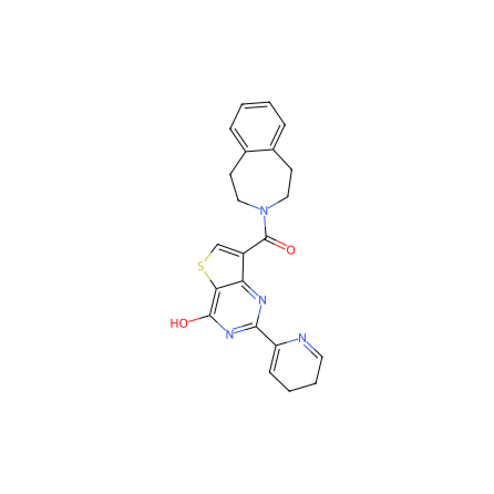 O=C(c1csc2c(O)nc(C3=CCCC=N3)nc12)N1CCc2ccccc2CC1